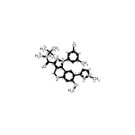 COc1cc2c(cc1-c1ccn(C)n1)-c1c(c(C(=O)N(C)C(C)(C)C)nn1-c1cc(C)cc(Cl)c1)CO2